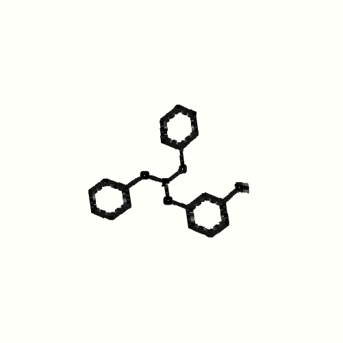 Oc1cccc(OP(Oc2ccccc2)Oc2ccccc2)c1